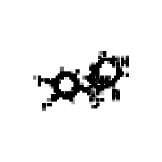 [O-][S+](c1ccc(F)c(F)c1)N1C2CC[C@@H]1CNC2